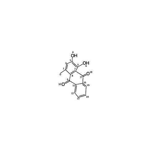 Cc1cc(O)c(O)c2c1C(=O)c1ccccc1C2=O